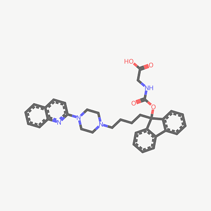 O=C(O)CNC(=O)OC1(CCCCN2CCN(c3ccc4ccccc4n3)CC2)c2ccccc2-c2ccccc21